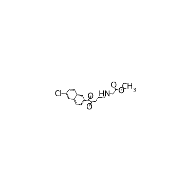 COC(=O)CNCCCS(=O)(=O)c1ccc2cc(Cl)ccc2c1